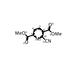 COC(=O)c1ccc(C(=O)OC)c(C#N)n1